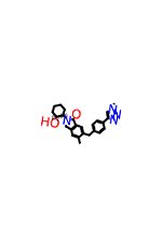 Cc1cc2c(cc1Cc1ccc(-c3cn(C)nn3)cc1)C(=O)N([C@@H]1CCCC[C@H]1O)C2